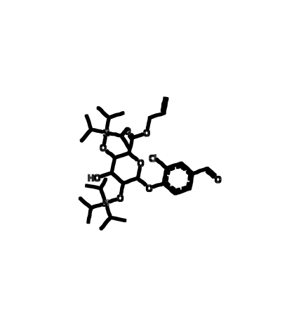 C=CCOC(=O)C1OC(Oc2ccc(C=O)cc2Cl)C(O[Si](C(C)C)(C(C)C)C(C)C)C(O)C1O[Si](C(C)C)(C(C)C)C(C)C